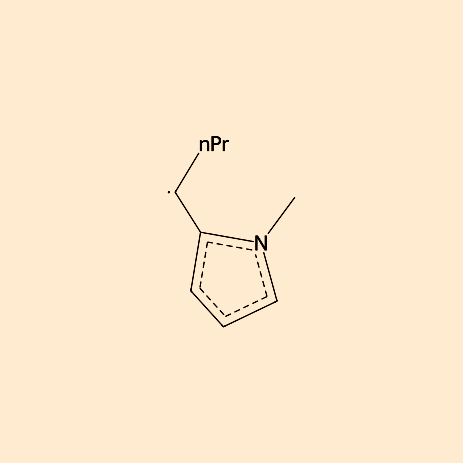 CCC[CH]c1cccn1C